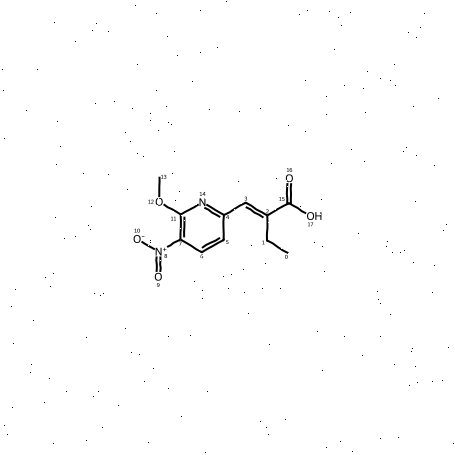 CC/C(=C\c1ccc([N+](=O)[O-])c(OC)n1)C(=O)O